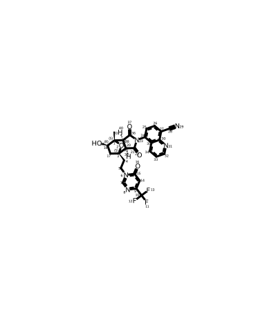 C[C@@]12O[C@@](CCn3cnc(C(F)(F)F)cc3=O)(C[C@H]1O)[C@@H]1C(=O)N(c3ccc(C#N)c4ncccc34)C(=O)[C@@H]12